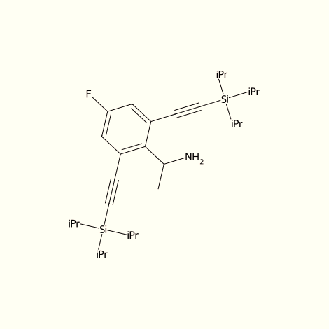 CC(N)c1c(C#C[Si](C(C)C)(C(C)C)C(C)C)cc(F)cc1C#C[Si](C(C)C)(C(C)C)C(C)C